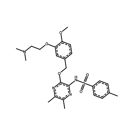 COc1ccc(COc2nc(C)c(C)nc2NS(=O)(=O)c2ccc(C)cc2)cc1OCCN(C)C